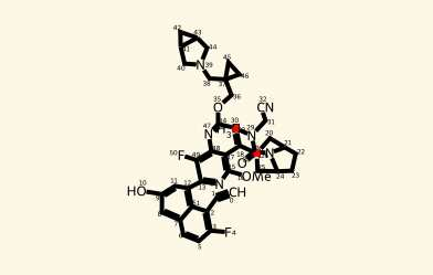 C#Cc1c(F)ccc2cc(O)cc(-c3nc(OC)c4c(N5CC6CCC(C5)N6C(=O)N(C)CC#N)nc(OCC5(CN6CC7CC7C6)CC5)nc4c3F)c12